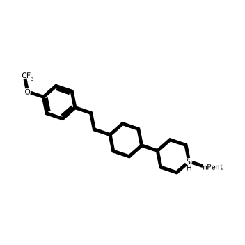 CCCCC[SiH]1CCC(C2CCC(CCc3ccc(OC(F)(F)F)cc3)CC2)CC1